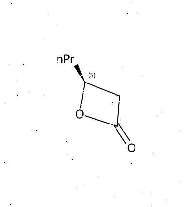 CCC[C@H]1CC(=O)O1